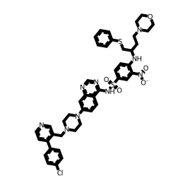 O=[N+]([O-])c1cc(S(=O)(=O)Nc2ncnc3cc(N4CCN(Cc5cnccc5-c5ccc(Cl)cc5)CC4)ccc23)ccc1NC(CCN1CCOCC1)CSc1ccccc1